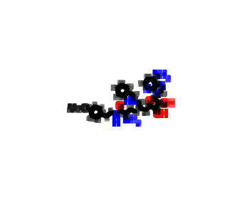 COc1ccc(CCNC(=O)[C@@H](N)CC[C@H](CNCc2ccccc2)C[C@H]2O[C@@H](n3cnc4c(N)ccnc43)C(O)[C@H]2O)cc1